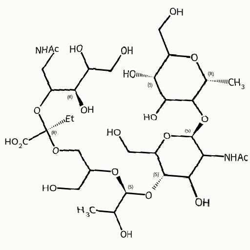 CC[C@@](OCC(CO)O[C@@H](O[C@@H]1C(CO)O[C@@H](OC2C(O)[C@H](O)C(CO)O[C@@H]2C)C(NC(C)=O)C1O)C(C)O)(OC(CNC(C)=O)[C@H](O)C(O)CO)C(=O)O